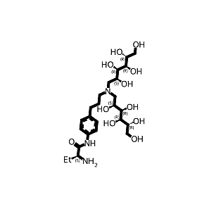 CC[C@H](N)C(=O)Nc1ccc(CCCN(C[C@H](O)[C@@H](O)[C@H](O)[C@H](O)CO)C[C@H](O)[C@@H](O)[C@H](O)[C@H](O)CO)cc1